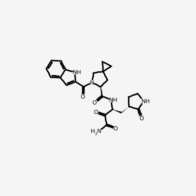 NC(=O)C(=O)[C@H](C[C@@H]1CCNC1=O)NC(=O)[C@@H]1CC2(CC2)CN1C(=O)c1cc2ccccc2[nH]1